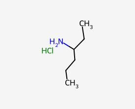 CCCC(N)CC.Cl